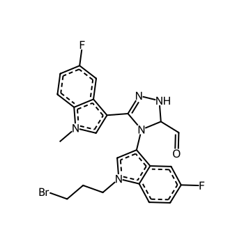 Cn1cc(C2=NNC(C=O)N2c2cn(CCCBr)c3ccc(F)cc23)c2cc(F)ccc21